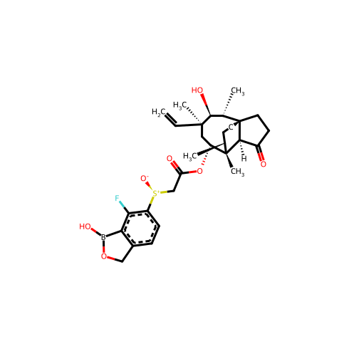 C=C[C@]1(C)C[C@@H](OC(=O)C[S@+]([O-])c2ccc3c(c2F)B(O)OC3)[C@]2(C)[C@H](C)CC[C@]3(CCC(=O)[C@H]32)[C@@H](C)[C@@H]1O